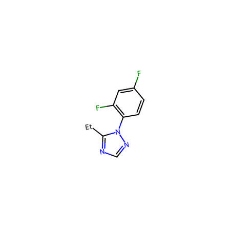 CCc1ncnn1-c1ccc(F)cc1F